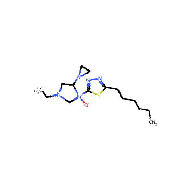 CCCCCCc1nnc([N+]2([O-])CN(CC)CC2N2CC2)s1